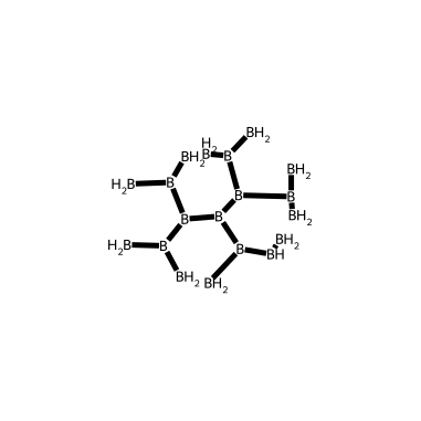 BBB(B)B(B(B(B)B)B(B)B)B(B(B)B)B(B)B